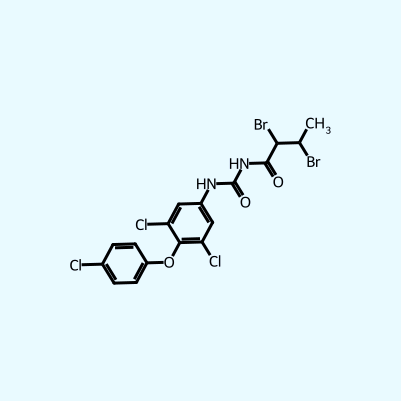 CC(Br)C(Br)C(=O)NC(=O)Nc1cc(Cl)c(Oc2ccc(Cl)cc2)c(Cl)c1